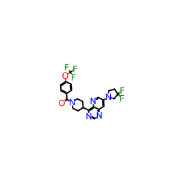 O=C(c1ccc(OC(F)(F)F)cc1)N1CCC(c2ncnc3cc(N4CCC(F)(F)C4)cnc23)CC1